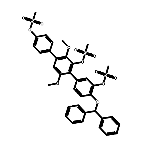 COc1cc(-c2ccc(OS(C)(=O)=O)cc2)c(OC)c(OS(C)(=O)=O)c1-c1ccc(OC(c2ccccc2)c2ccccc2)c(OS(C)(=O)=O)c1